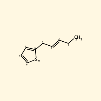 CCC=CCc1cccs1